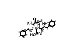 N[C@@H](Cc1ccccc1)C(=O)N[C@@H](COCc1ccccc1)C(=O)O.O=C(CBr)CBr